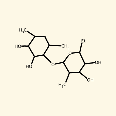 CCC1OC(OC2C(C)CC(C)C(O)C2O)C(C)C(O)C1O